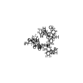 CC(C)C[C@H]1C(=O)N2CCC[C@H]2[C@]2(O)O[C@](NC(=O)[C@@H]3C=C4c5cccc6[nH]c(Br)c(c56)C[C@H]4N(C)C3)(C(C)C)C(=O)N12.O=C(O[C@H]1C[C@H]2CC[C@@H](C1)[N+]21CCCC1)C(O)(c1ccccc1)c1ccccc1.[Cl-]